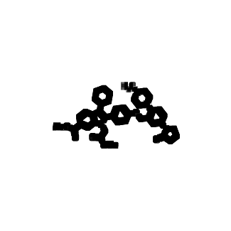 COC(=O)Cn1c(-c2ccc(OCc3cc(N4CCCC4=O)ccc3N3CCN(C)CC3)cc2)c(C2CCCCC2)c2ccc(C(=O)OC)cc21